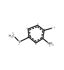 CSc1ccc(I)c(N)c1